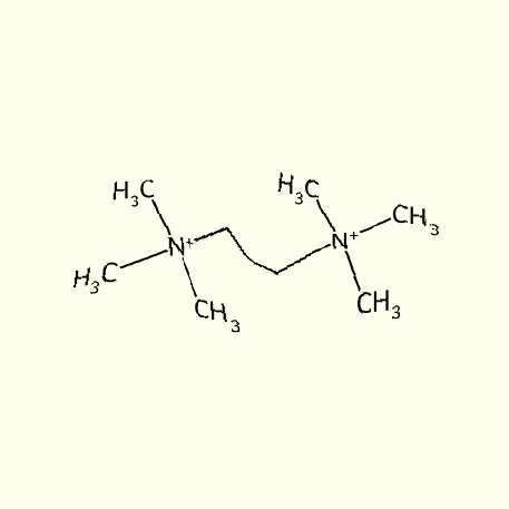 C[N+](C)(C)CC[N+](C)(C)C